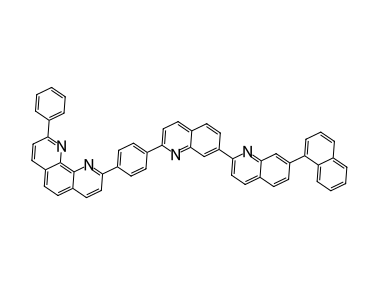 c1ccc(-c2ccc3ccc4ccc(-c5ccc(-c6ccc7ccc(-c8ccc9ccc(-c%10cccc%11ccccc%10%11)cc9n8)cc7n6)cc5)nc4c3n2)cc1